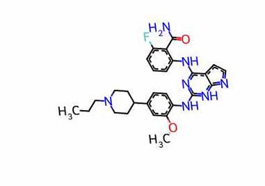 CCCN1CCC(c2ccc(Nc3nc(Nc4cccc(F)c4C(N)=O)c4ccnc-4[nH]3)c(OC)c2)CC1